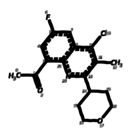 CC(=O)c1cc(F)cc2c(Cl)c(C)c(C3CCOCC3)nc12